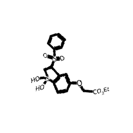 CCOC(=O)COc1ccc2c(c1)C(S(=O)(=O)c1ccccc1)CS2(O)O